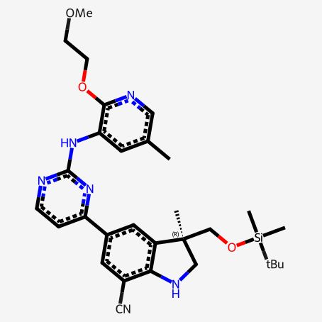 COCCOc1ncc(C)cc1Nc1nccc(-c2cc(C#N)c3c(c2)[C@@](C)(CO[Si](C)(C)C(C)(C)C)CN3)n1